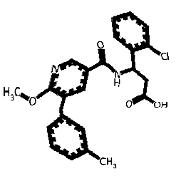 COc1ncc(C(=O)NC(CC(=O)O)c2ccccc2Cl)cc1-c1cccc(C)c1